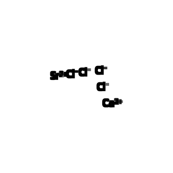 [Ca+2].[Cl-].[Cl-].[Cl-].[Cl-].[Sr+2]